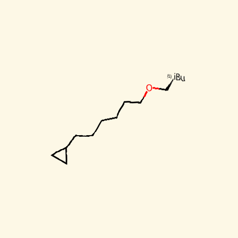 CC[C@H](C)COCCCCCCC1CC1